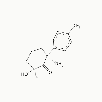 C[C@]1(O)CCC[C@@](N)(c2ccc(C(F)(F)F)cc2)C1=O